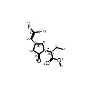 CC[C@@H](C(=O)OC)N1C[C@H](C=C(F)F)CC1=O